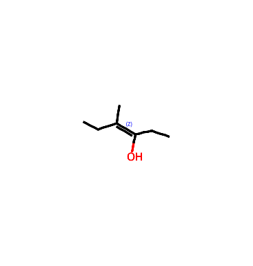 CC/C(C)=C(\O)CC